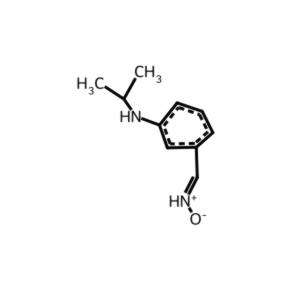 CC(C)Nc1cccc(C=[NH+][O-])c1